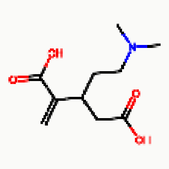 C=C(C(=O)O)C(CCN(C)C)CC(=O)O